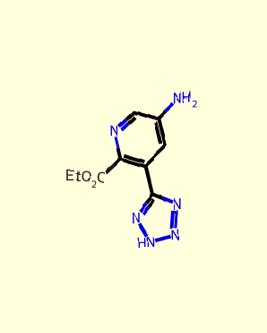 CCOC(=O)c1ncc(N)cc1-c1nn[nH]n1